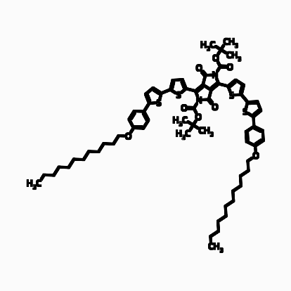 CCCCCCCCCCCCOc1ccc(-c2ccc(-c3ccc(C4=C5C(=O)N(C(=O)OC(C)(C)C)C(c6ccc(-c7ccc(-c8ccc(OCCCCCCCCCCCC)cc8)s7)s6)=C5C(=O)N4C(=O)OC(C)(C)C)s3)s2)cc1